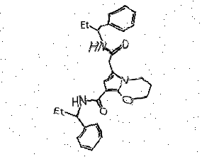 CCC(NC(=O)c1cc(C(=O)NC(CC)c2ccccc2)n2c1OCCC2)c1ccccc1